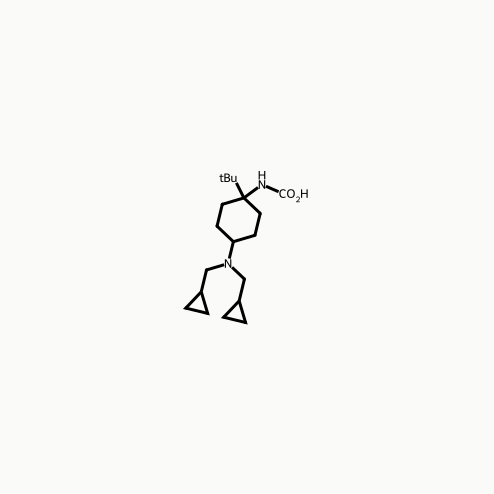 CC(C)(C)C1(NC(=O)O)CCC(N(CC2CC2)CC2CC2)CC1